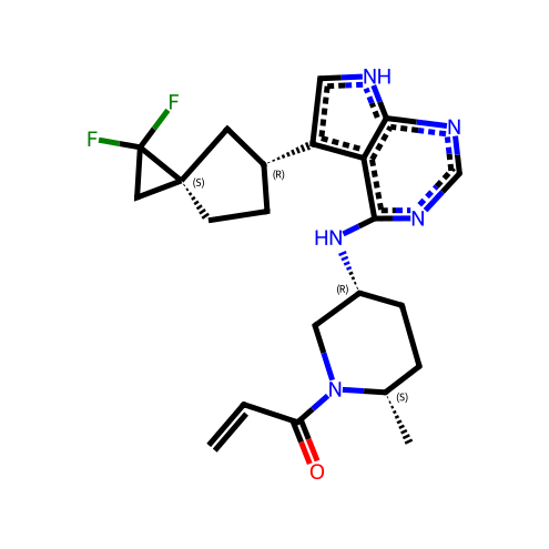 C=CC(=O)N1C[C@H](Nc2ncnc3[nH]cc([C@@H]4CC[C@]5(C4)CC5(F)F)c23)CC[C@@H]1C